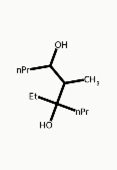 CCCC(O)C(C)C(O)(CC)CCC